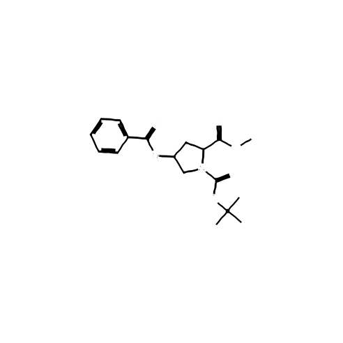 COC(=O)C1CC(NC(=O)c2ccccc2)CN1C(=O)OC(C)(C)C